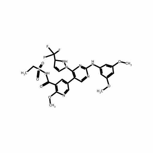 CCS(=O)(=O)NC(=O)c1cc(-c2cnc(Nc3cc(OC)cc(OC)c3)nc2N2C=CC(C(F)(F)F)N2)cnc1OC